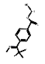 C/N=C(/c1ccc(C(=O)ONS)cc1)C(F)(F)F